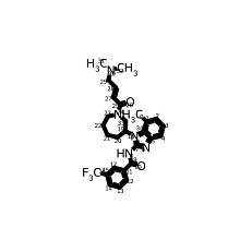 Cc1cccc2nc(NC(=O)c3cccc(C(F)(F)F)c3)n(C3CCCCN(C(=O)/C=C/CN(C)C)C3)c12